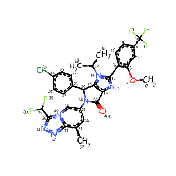 COc1cc(C(F)(F)F)ccc1-c1nc2c(n1C(C)C)C(c1ccc(Cl)cc1)N(c1cc(C)c3nnc(C(F)F)n3c1)C2=O